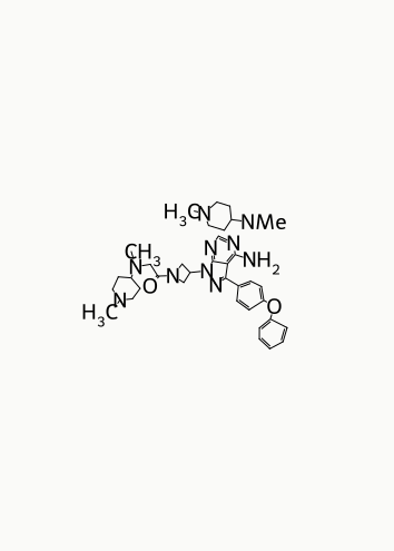 CN1CCC(N(C)CC(=O)N2CC(n3nc(-c4ccc(Oc5ccccc5)cc4)c4c(N)ncnc43)C2)CC1.CNC1CCN(C)CC1